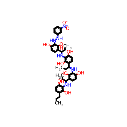 CCCc1ccc(O)c(NC(CC)c2ccc(O)c(NC(CC)c3ccc(O)c(NC(CC)c4ccc(O)c(NNc5cccc([N+](=O)[O-])c5)c4O)c3O)c2O)c1O